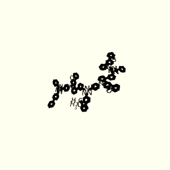 CC1(C)c2ccccc2-c2ccc(-c3nc(-c4ccc(-n5c6cc7oc8ccccc8c7cc6c6c(-c7cccc(-c8nc(-c9ccccc9)nc(-n9c%10ccccc%10c%10cc%11c(cc%109)sc9ccccc9%11)n8)c7)cccc65)cc4)nc(-c4cccc(-c5cccc6c5c5cc7c(cc5n6-c5ccc(-c6nc(-c8ccccc8)nc(-c8ccc(-c9ccccc9)cc8)n6)cc5)oc5ccccc57)c4)n3)cc21